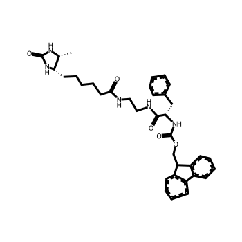 C[C@H]1NC(=O)N[C@H]1CCCCCC(=O)NCCNC(=O)[C@H](Cc1ccccc1)NC(=O)OCC1c2ccccc2-c2ccccc21